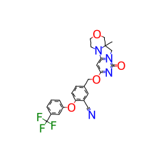 CC12COCCN1c1cc(OCc3ccc(Oc4cccc(C(F)(F)F)c4)c(C#N)c3)nc(=O)n1C2